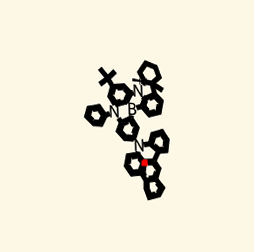 CC(C)(C)c1cc2c3c(c1)N1c4c(cccc4C4(C)CCCC[C@@]14C)B3c1cc(N(c3ccccc3)c3ccccc3-c3ccc4ccccc4c3)ccc1N2c1ccccc1